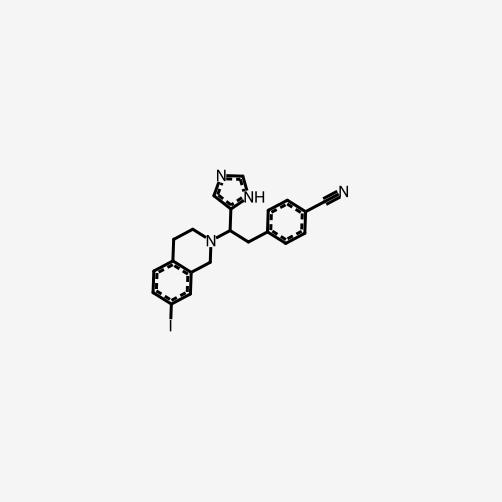 N#Cc1ccc(CC(c2cnc[nH]2)N2CCc3ccc(I)cc3C2)cc1